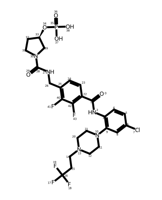 O=C(Nc1ccc(Cl)cc1N1CCN(CCC(F)(F)F)CC1)c1ccc(CNC(=O)N2CC[C@@H](OP(=O)(O)O)C2)c(F)c1F